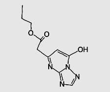 CCCOC(=O)Cc1cc(O)n2ncnc2n1